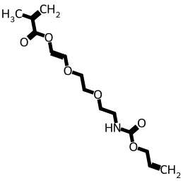 C=CCOC(=O)NCCOCCOC=COC(=O)C(=C)C